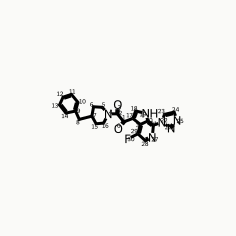 O=C(C(=O)N1CCC(Cc2ccccc2)CC1)c1c[nH]c2c(-n3ccnn3)ncc(F)c12